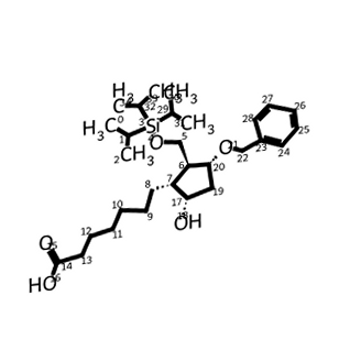 CC(C)[Si](OC[C@@H]1[C@@H](CCCCCCC(=O)O)[C@@H](O)C[C@H]1OCc1ccccc1)(C(C)C)C(C)C